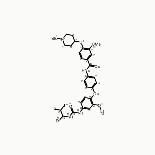 CCCCN1CCC(Oc2ccc(C(=O)Nc3ccc(Oc4ccc(NC(=O)NC(CC)C(C)I)cc4OCC)cc3)cc2OC)CC1